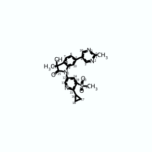 Cc1ncc(-c2ccc3c(c2)N(c2cnc(C4CC4)c(S(C)(=O)=O)c2)C(=O)C3(C)C)cn1